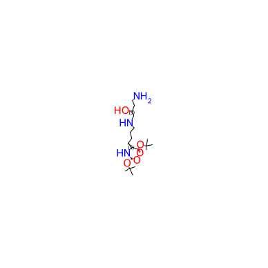 CC(C)(C)OC(=O)N[C@@H](CCCCNC[C@@H](O)CCN)C(=O)OC(C)(C)C